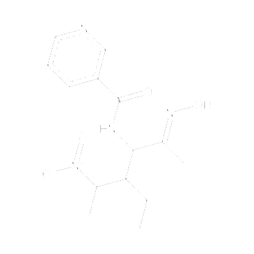 CCC(C(NC(=O)c1cccnc1)C(C)=NO)C(C)[N+](=O)[O-]